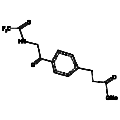 COC(=O)CCc1ccc(C(=O)CNC(=O)C(F)(F)F)cc1